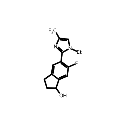 CCn1cc(C(F)(F)F)nc1-c1cc2c(cc1F)C(O)CC2